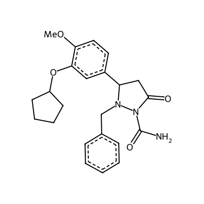 COc1ccc(C2CC(=O)N(C(N)=O)N2Cc2ccccc2)cc1OC1CCCC1